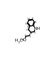 COCC[C@@H]1CNc2ccccc2C1